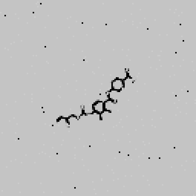 C=CC(=O)COC(=O)Oc1ccc(C(=O)OC2CCC(C(=O)O)CC2)c(C)c1C